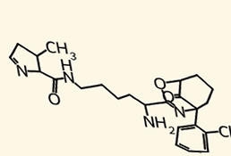 CC1CC=NC1C(=O)NCCCCC(N)C1=NC2(c3ccccc3Cl)CCCC(O1)C2=O